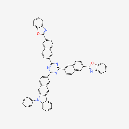 c1ccc(-n2c3ccccc3c3cc4cc(-c5nc(-c6ccc7cc(-c8nc9ccccc9o8)ccc7c6)nc(-c6ccc7cc(-c8nc9ccccc9o8)ccc7c6)n5)ccc4cc32)cc1